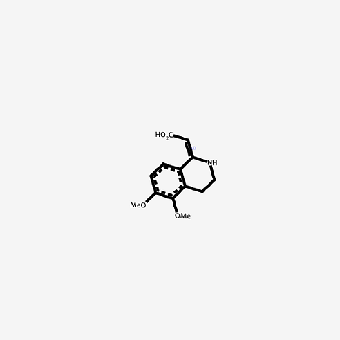 COc1ccc2c(c1OC)CCN/C2=C/C(=O)O